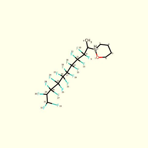 CC([SiH]1CCCCO1)C(F)(F)C(F)(F)C(F)(F)C(F)(F)C(F)(F)C(F)(F)C(F)(F)C(F)C(F)F